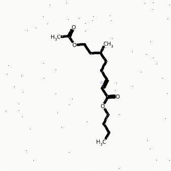 CCCCOC(=O)/C=C/CCC(C)CCOC(C)=O